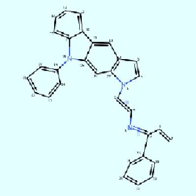 C=C/C(=N\C=C\n1ccc2cc3c4ccccc4n(-c4ccccc4)c3cc21)c1ccccc1